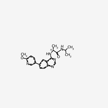 COc1ccc(-c2ccc3ncnc(N[C@@H](C)C(=O)NC(C)C)c3c2)cn1